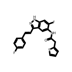 O=C(Cc1cccs1)Nc1cc2c(C=Cc3ccc(F)cc3)n[nH]c2cc1F